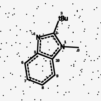 Cn1c(C(C)(C)C)nc2ccccc21